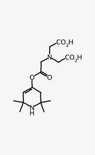 CC1(C)C=C(OC(=O)CN(CC(=O)O)CC(=O)O)CC(C)(C)N1